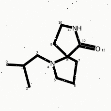 CC(C)CN1CCCC12CCNC2=O